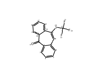 O=c1c2ccccc2cc(SC(F)(F)F)c2ccccc12